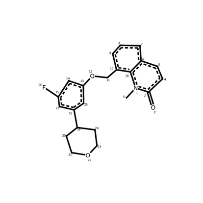 Cn1c(=O)ccc2cccc(COc3cc(F)cc(C4CCOCC4)c3)c21